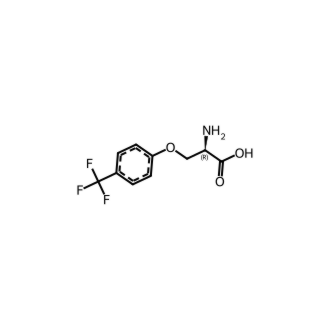 N[C@H](COc1ccc(C(F)(F)F)cc1)C(=O)O